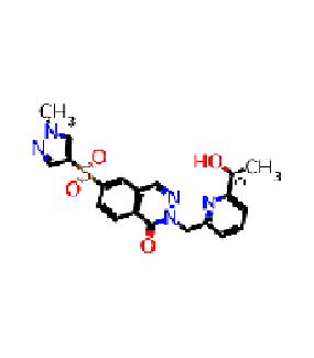 C[C@H](O)c1cccc(Cn2ncc3cc(S(=O)(=O)c4cnn(C)c4)ccc3c2=O)n1